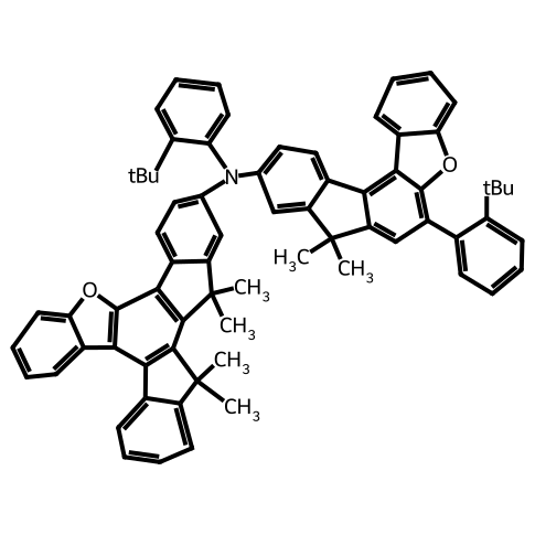 CC(C)(C)c1ccccc1-c1cc2c(c3c1oc1ccccc13)-c1ccc(N(c3ccc4c(c3)C(C)(C)c3c5c(c6c(oc7ccccc76)c3-4)-c3ccccc3C5(C)C)c3ccccc3C(C)(C)C)cc1C2(C)C